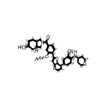 COc1cc(C(=O)N2CC3CC[C@H](O)C[C@@H]3C2)ccc1-c1cc2nccc(-c3ccc(NC4CCOCC4)c(C#N)c3)c2o1